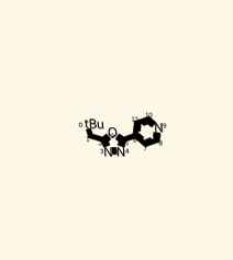 CC(C)(C)Cc1nnc(-c2ccncc2)o1